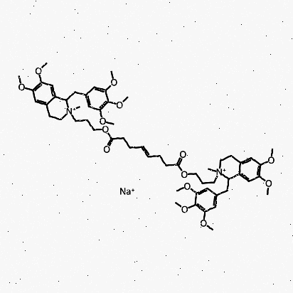 COc1cc2c(cc1OC)C(Cc1cc(OC)c(OC)c(OC)c1)[N+](C)(CCCOC(=O)CC/C=C/CCC(=O)OCCC[N+]1(C)CCc3cc(OC)c(OC)cc3C1Cc1cc(OC)c(OC)c(OC)c1)CC2.[Na+]